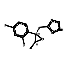 C[C@@H]1O[C@]1(Cc1nc[nH]n1)c1ccc(F)cc1F